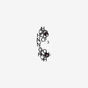 C[C@@H]1CC[C@H]2[C@@H](C)[C@@](C)(OCCN3CCN(CC4=C(C(F)(F)F)O[C@@H]5O[C@]6(C)CC[C@H]7[C@H](C)CC[C@@H]4[C@@]57O6)CC3)O[C@@H]3O[C@]4(C)CC[C@@H]1[C@]32OO4